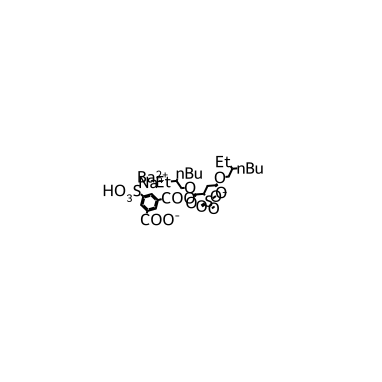 CCCCC(CC)COC(=O)CC(C(=O)OCC(CC)CCCC)S(=O)(=O)[O-].O=C([O-])c1cc(C(=O)[O-])cc(S(=O)(=O)O)c1.[Ba+2].[Na+]